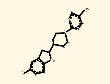 CCCc1cnc(N2CCC(C3Cc4cc(Br)ccc4O3)CC2)nc1